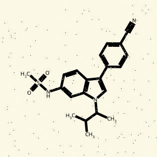 CC(C)C(C)n1cc(-c2ccc(C#N)cc2)c2ccc(NS(C)(=O)=O)cc21